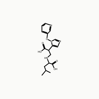 CC(C)CC(NCC(C(=O)O)c1cncn1Oc1cccnc1)C(=O)O